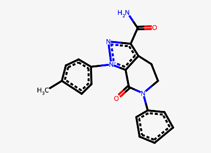 Cc1ccc(-n2nc(C(N)=O)c3c2C(=O)N(c2ccccc2)CC3)cc1